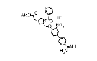 COC(=O)C[C@@H]1C[C@@H](COc2ccc(-c3ccc(C(=N)N)cc3)cc2[N+](=O)[O-])N(C(=O)c2cccnc2)C1.Cl